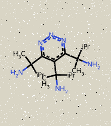 CC(C)C(C)(N)c1nnnc(C(C)(N)C(C)C)c1C(C)(N)C(C)C